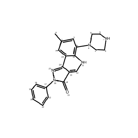 Cc1cc(N2CCNCC2)c2[nH]cc3c(=O)n(-c4ccccc4)nc-3c2c1